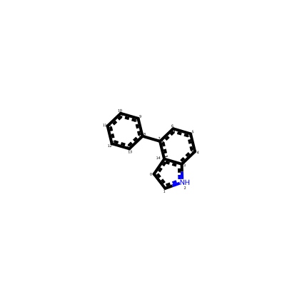 [c]1c[nH]c2cccc(-c3ccccc3)c12